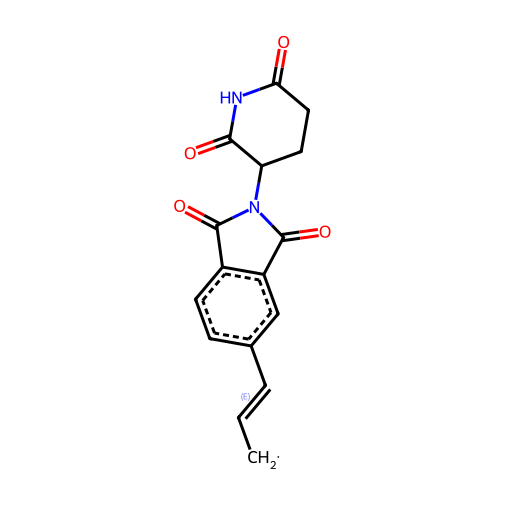 [CH2]/C=C/c1ccc2c(c1)C(=O)N(C1CCC(=O)NC1=O)C2=O